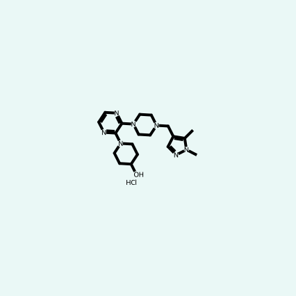 Cc1c(CN2CCN(c3nccnc3N3CCC(O)CC3)CC2)cnn1C.Cl